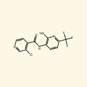 O=C(Nc1ccc(C(F)(F)F)nc1O)c1ccncc1Cl